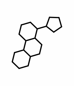 C1CCC2C(C1)CCC1C(C3CCCC3)CCCC21